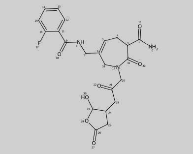 NC(=O)C1CC=C(CNC(=O)c2ccccc2F)CN(CC(=O)CC2CC(=O)OC2O)C1=O